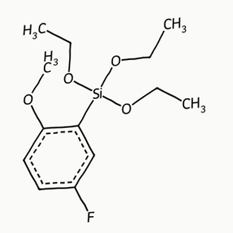 CCO[Si](OCC)(OCC)c1cc(F)ccc1OC